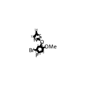 COc1cc(F)c(Br)cc1Oc1ncc(C)s1